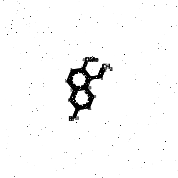 C=Cc1c(OC)ccc2cc(Br)ccc12